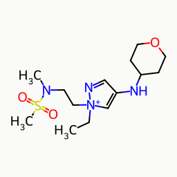 CC[N+]1(CCN(C)S(C)(=O)=O)C=C(NC2CCOCC2)C=N1